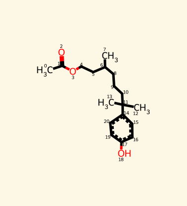 CC(=O)OCCC(C)CCCC(C)(C)c1ccc(O)cc1